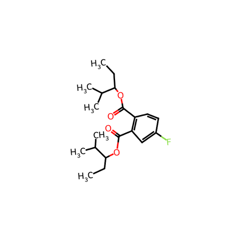 CCC(OC(=O)c1ccc(F)cc1C(=O)OC(CC)C(C)C)C(C)C